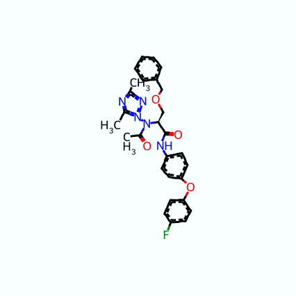 CC(=O)N([C@@H](COCc1ccccc1)C(=O)Nc1ccc(Oc2ccc(F)cc2)cc1)n1nc(C)nc1C